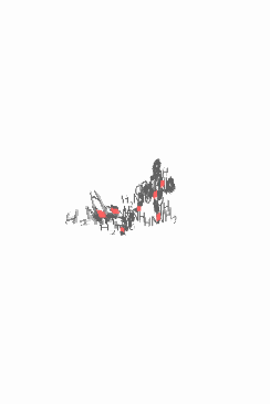 CC[C@@H](N)CNC(=O)[C@H](CC(=O)NCCCC[C@H](NC(=O)[C@H](Cc1c[nH]c2ccccc12)NC(=O)[C@H](CCCNC(=N)N)NC(=O)[C@@H](Cc1ccccc1)NC(C)=O)C(N)=O)NC(=O)[C@H](CCCNC(=N)N)NC(C)=O